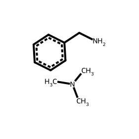 CN(C)C.NCc1ccccc1